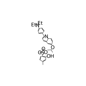 CCN(CC)c1ccc(-c2ccc3cc(OC(C)COS(=O)(=O)c4ccc(C)cc4O)ccc3n2)cc1